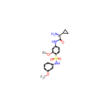 CCOc1cc(NC(=O)[C@@H](N)C2CC2)ccc1S(=O)(=O)Nc1cccc(OC(F)(F)F)c1